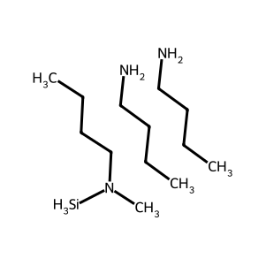 CCCCN.CCCCN.CCCCN(C)[SiH3]